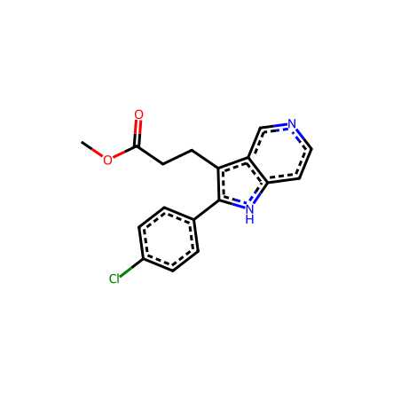 COC(=O)CCc1c(-c2ccc(Cl)cc2)[nH]c2ccncc12